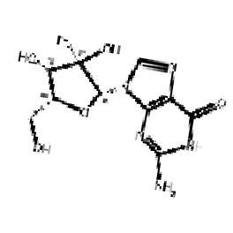 CC[C@@]1(O)[C@@H](O)[C@@H](CO)O[C@H]1n1cnc2c(=O)[nH]c(N)nc21